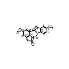 COc1ccc2c(c1)sc(=O)n2Cn1c(=O)sc2cc(OC)ccc21